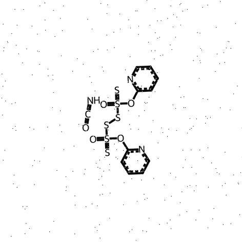 N=C=O.O=S(=S)(Oc1ccccn1)SSS(=O)(=S)Oc1ccccn1